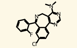 CN(C)c1ncnc2c1CN=C(c1ccccc1F)c1cc(Cl)ccc1-2